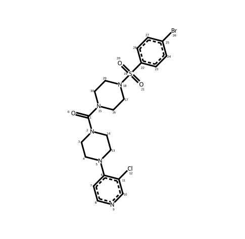 O=C(N1CCN(c2ccncc2Cl)CC1)N1CCN(S(=O)(=O)c2ccc(Br)cc2)CC1